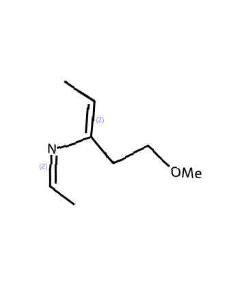 C/C=N\C(=C/C)CCOC